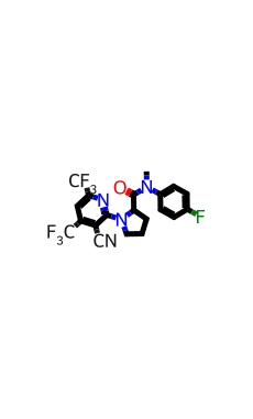 CN(C(=O)C1CCCN1c1nc(C(F)(F)F)cc(C(F)(F)F)c1C#N)c1ccc(F)cc1